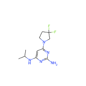 CC(C)Nc1cc(N2CCC(F)(F)C2)nc(N)n1